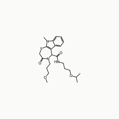 COCCCN1C(=O)CSc2c(c3ccccc3n2C)C1C(=O)NCCCOC(C)C